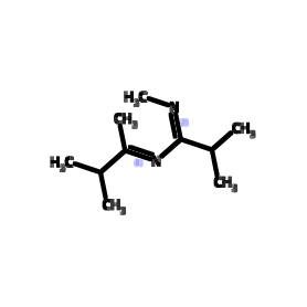 C/N=C(\N=C(/C)C(C)C)C(C)C